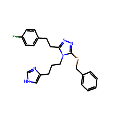 Fc1ccc(CCc2nnc(SCc3ccccc3)n2CCCc2c[nH]cn2)cc1